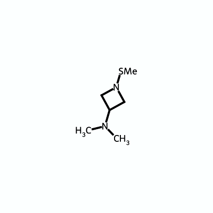 CSN1CC(N(C)C)C1